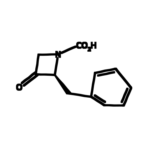 O=C1CN(C(=O)O)[C@H]1Cc1ccccc1